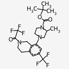 CC1CN(c2cc(C(F)(F)F)cc3c2CN(C(=O)C(F)(F)F)CC3)CCN1C(=O)OC(C)(C)C